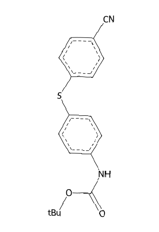 CC(C)(C)OC(=O)Nc1ccc(Sc2ccc(C#N)cc2)cc1